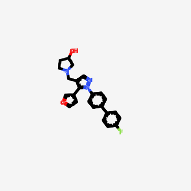 OC1CCN(Cc2cnn(-c3ccc(-c4ccc(F)cc4)cc3)c2-c2ccoc2)C1